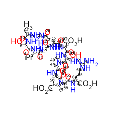 CC(C)[C@H](NC(=O)[C@H](CO)NC(=O)[C@H](C)N)C(=O)NCC(=O)N[C@@H](CCC(N)=O)C(=O)N[C@@H](CC(=O)O)C(=O)N[C@@H](CO)C(=O)N1CCC[C@H]1C(=O)N[C@@H](CCC(=O)O)C(=O)N1CCC[C@H]1C(=O)N[C@@H](CCCNC(=N)N)C(=O)O